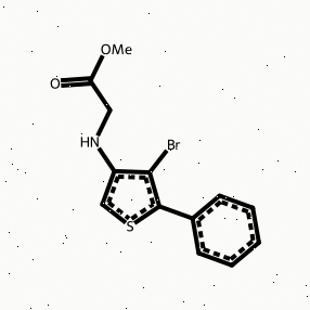 COC(=O)CNc1csc(-c2ccccc2)c1Br